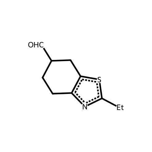 CCc1nc2c(s1)CC(C=O)CC2